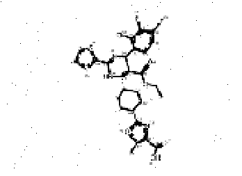 CCOC(=O)C1=C([C@H]2CC[C@H](c3nc(C(=O)O)c(C)o3)CC2)NC(c2nccs2)=NC1c1ccc(F)c(F)c1Cl